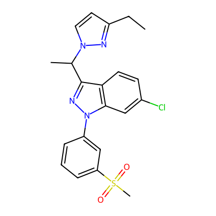 CCc1ccn(C(C)c2nn(-c3cccc(S(C)(=O)=O)c3)c3cc(Cl)ccc23)n1